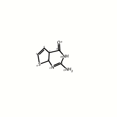 NC1=NC2SC=CC2C(=O)N1